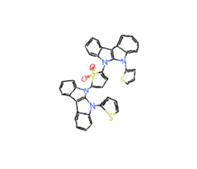 O=S1(=O)C(n2c3ccccc3c3c4ccccc4n(-c4cccs4)c32)=CC=C1n1c2ccccc2c2c3ccccc3n(-c3cccs3)c21